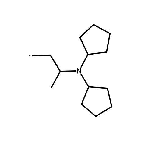 [CH2]CC(C)N(C1CCCC1)C1CCCC1